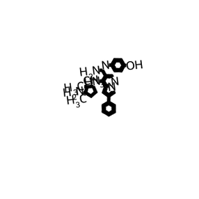 CC1(N)CCC(Nc2c(C(N)=Nc3ccc(O)cc3)cnn3cc(-c4ccccc4)cc23)C1(C)C